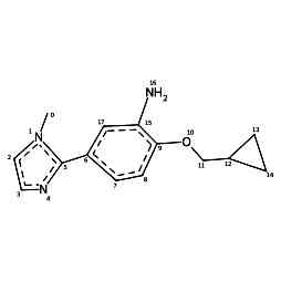 Cn1ccnc1-c1ccc(OCC2CC2)c(N)c1